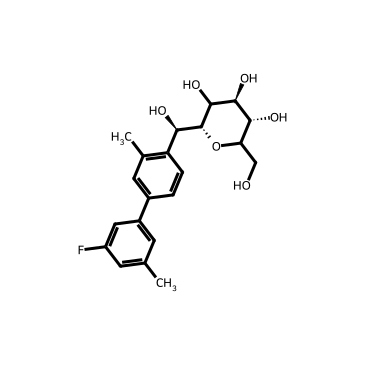 Cc1cc(F)cc(-c2ccc([C@@H](O)[C@H]3OC(CO)[C@@H](O)[C@H](O)C3O)c(C)c2)c1